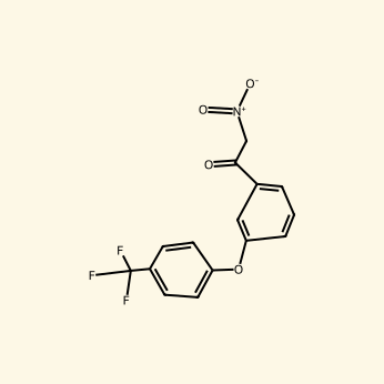 O=C(C[N+](=O)[O-])c1cccc(Oc2ccc(C(F)(F)F)cc2)c1